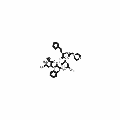 CC(C)C[C@H](NC(=O)[C@@H](CCc1ccccc1)NC(=O)CN1CCOCC1)C(=O)N[C@@H](Cc1ccccc1)C(=O)N[C@@H](CC(C)C)C(=O)[C@]1(C)CO1